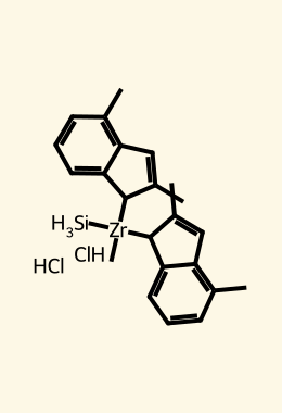 CC1=Cc2c(C)cccc2[CH]1[Zr]([CH3])([SiH3])[CH]1C(C)=Cc2c(C)cccc21.Cl.Cl